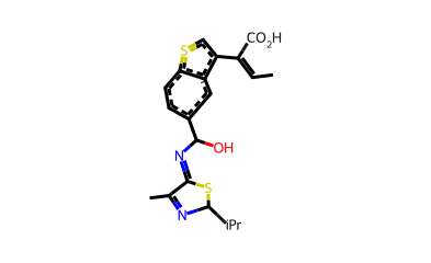 CC=C(C(=O)O)c1csc2ccc(C(O)N=C3SC(C(C)C)N=C3C)cc12